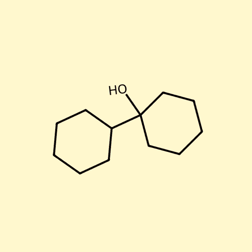 OC1(C2CCCCC2)CCCCC1